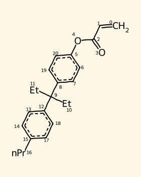 C=CC(=O)Oc1ccc(C(CC)(CC)c2ccc(CCC)cc2)cc1